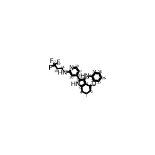 O=C1CCCc2[nH]c(-c3ccnc(NCCC(F)(F)F)c3)c(Nc3ccccc3)c21